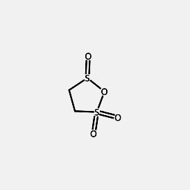 O=S1CCS(=O)(=O)O1